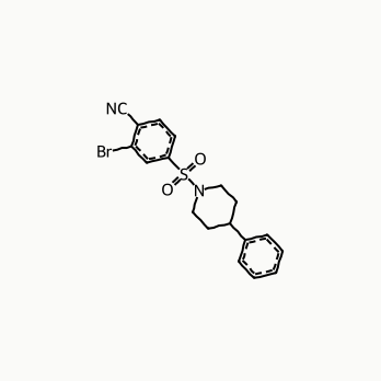 N#Cc1ccc(S(=O)(=O)N2CCC(c3ccccc3)CC2)cc1Br